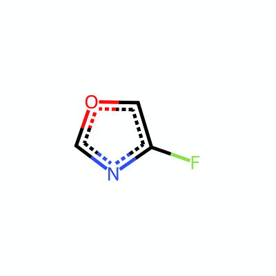 Fc1cocn1